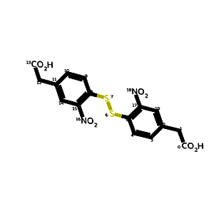 O=C(O)Cc1ccc(SSc2ccc(CC(=O)O)cc2[N+](=O)[O-])c([N+](=O)[O-])c1